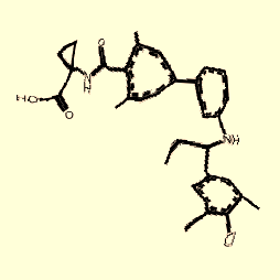 CCC(Nc1cccc(-c2cc(C)c(C(=O)NC3(C(=O)O)CC3)c(C)c2)c1)c1cc(C)c(Cl)c(C)c1